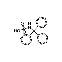 O=S(=O)(O)NC(c1ccccc1)(c1ccccc1)c1ccccc1